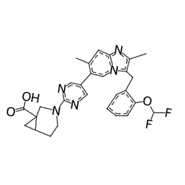 Cc1cc2nc(C)c(Cc3ccccc3OC(F)F)n2cc1-c1cnc(N2CCC3CC3(C(=O)O)C2)nc1